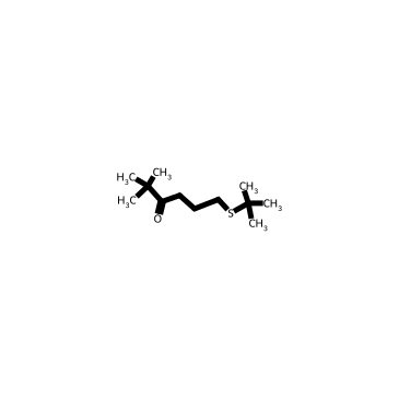 CC(C)(C)SCCCC(=O)C(C)(C)C